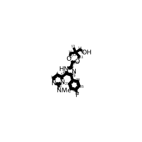 CNc1nccc(-c2[nH]c(C3OCC(C)(CO)CO3)nc2-c2ccc(F)cc2)n1